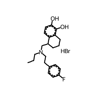 Br.CCCN(CCc1ccc(F)cc1)CC1CCCc2c1ccc(O)c2O